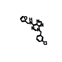 Clc1cccc(Cn2cnc(NCc3ccco3)c3ncnc2-3)c1